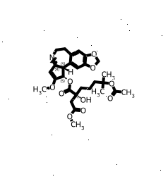 COC(=O)C[C@](O)(CCCC(C)(C)OC(C)=O)C(=O)O[C@@H]1C(OC)=C[C@]23CCCN2CCc2cc4c(cc2[C@H]13)OCO4